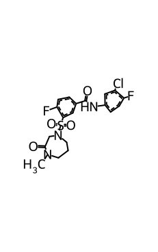 CN1CCCN(S(=O)(=O)c2cc(C(=O)Nc3ccc(F)c(Cl)c3)ccc2F)CC1=O